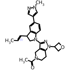 C/C=C/C1CN(c2nn(C3COC3)c3c2CN(C(C)=O)CC3)c2ccc(-c3cnn(C)c3)cc21